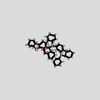 c1ccc(-n2c3ccccc3c3ccc(N(c4ccccc4-c4ccc5oc6ccccc6c5c4)c4cccc5ccccc45)cc32)cc1